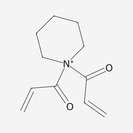 C=CC(=O)[N+]1(C(=O)C=C)CCCCC1